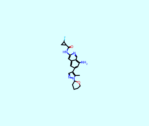 Cc1c(-c2cc(N)c3cnc(NC(=O)C4CC4F)cc3c2)cnn1C1CCCCO1